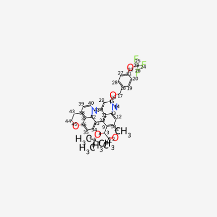 CC(=O)C(OC(C)(C)C)c1c(C)cc2nc(OCc3ccc(OC(F)(F)F)cc3)ccc2c1-c1ccc2c3c(ccnc13)CCO2